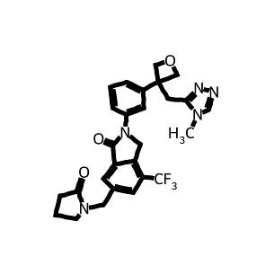 Cn1cnnc1CC1(c2cccc(N3Cc4c(cc(CN5CCCC5=O)cc4C(F)(F)F)C3=O)c2)COC1